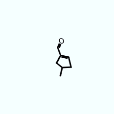 CC1CC=C(C=O)C1